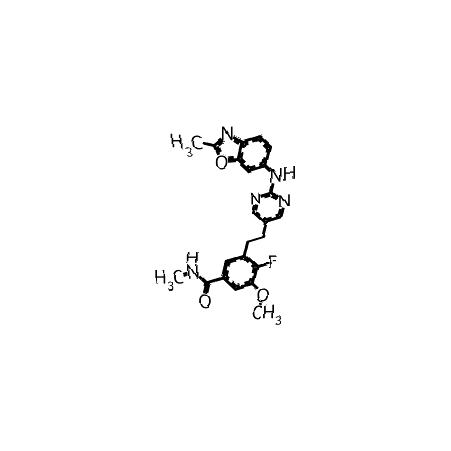 CNC(=O)c1cc(CCc2cnc(Nc3ccc4nc(C)oc4c3)nc2)c(F)c(OC)c1